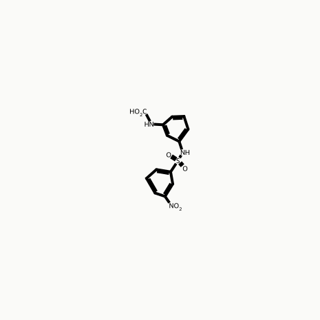 O=C(O)Nc1cccc(NS(=O)(=O)c2cccc([N+](=O)[O-])c2)c1